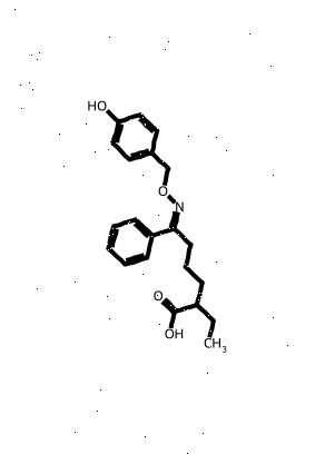 CCC(CCCC(=NOCc1ccc(O)cc1)c1ccccc1)C(=O)O